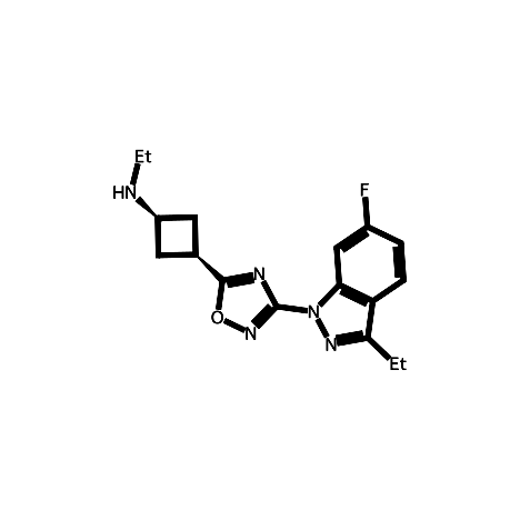 CCN[C@H]1C[C@@H](c2nc(-n3nc(CC)c4ccc(F)cc43)no2)C1